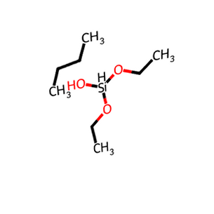 CCCC.CCO[SiH](O)OCC